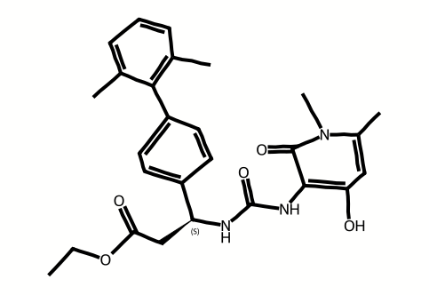 CCOC(=O)C[C@H](NC(=O)Nc1c(O)cc(C)n(C)c1=O)c1ccc(-c2c(C)cccc2C)cc1